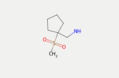 CS(=O)(=O)C1(C[NH])CCCC1